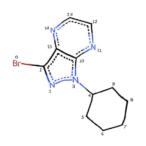 Brc1nn(C2CCCCC2)c2nccnc12